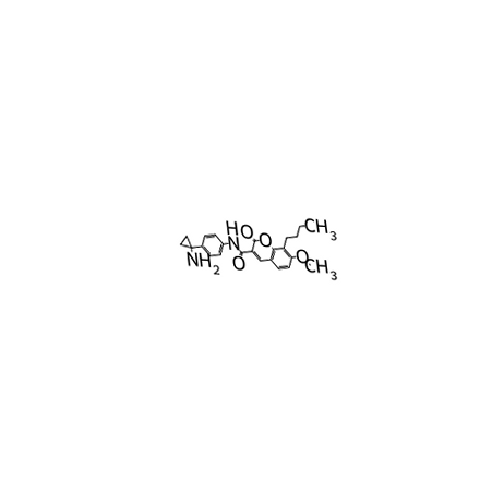 CCCCc1c(OC)ccc2cc(C(=O)Nc3ccc(C4(N)CC4)cc3)c(=O)oc12